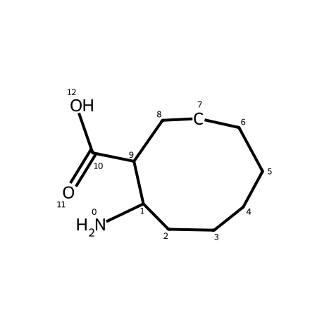 NC1CCCCCCCC1C(=O)O